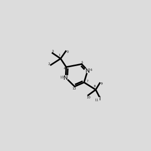 CC(C)(C)c1cnc(C(C)(C)I)cn1